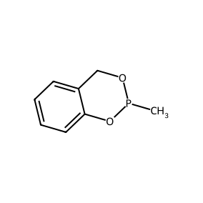 CP1OCc2ccccc2O1